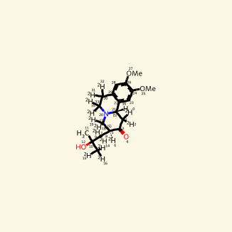 [2H]C1([2H])C(=O)[C@@]([2H])(C([2H])([2H])C(C)(O)C([2H])([2H])[2H])C([2H])([2H])N2[C@@H]1c1cc(OC)c(OC)cc1C([2H])([2H])C2([2H])[2H]